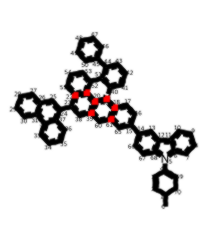 CC1C=CC(n2c3ccccc3c3cc(-c4ccc(N(c5ccc(-c6cc7ccccc7c7ccccc67)cc5)c5cccc(-c6ccccc6)c5-c5ccccc5-c5ccccc5)cc4)ccc32)=CC1